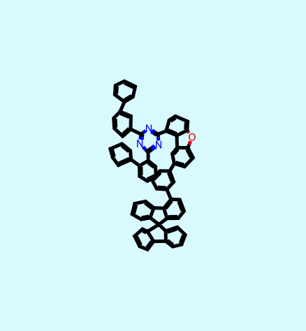 c1ccc(-c2cccc(-c3nc(-c4ccccc4-c4ccccc4)nc(-c4cccc5oc6ccc(-c7cccc(-c8cccc9c8-c8ccccc8C98c9ccccc9-c9ccccc98)c7)cc6c45)n3)c2)cc1